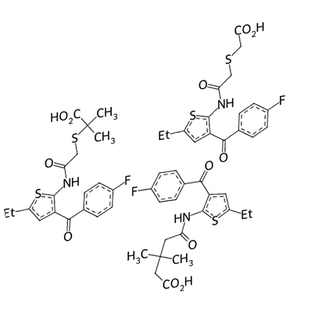 CCc1cc(C(=O)c2ccc(F)cc2)c(NC(=O)CC(C)(C)CC(=O)O)s1.CCc1cc(C(=O)c2ccc(F)cc2)c(NC(=O)CSC(C)(C)C(=O)O)s1.CCc1cc(C(=O)c2ccc(F)cc2)c(NC(=O)CSCC(=O)O)s1